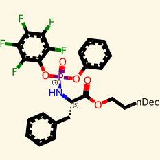 CCCCCCCCCCCCOC(=O)[C@H](Cc1ccccc1)N[P@@](=O)(Oc1ccccc1)Oc1c(F)c(F)c(F)c(F)c1F